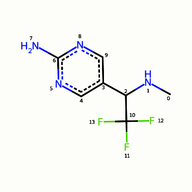 CNC(c1cnc(N)nc1)C(F)(F)F